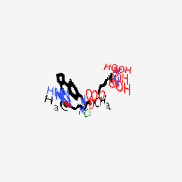 CCCCc1nc(Cl)c(C(=O)OC(C)OC(=O)CCC[C@H](CON(O)O)ON(O)O)n1Cc1ccc(-c2ccccc2-c2nnn[nH]2)cc1